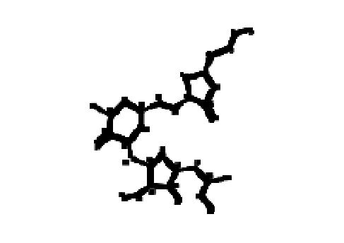 C=C1C[C@H](CCCC)O[C@H]1CC[C@H]1C[C@@H](C)C(=C)[C@@H](C[C@@H]2O[C@H](C[C@H](C)CC)C(C)[C@H]2CC)O1